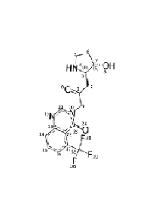 O=C(C[C@H]1NCC[C@@H]1O)Cn1cnc2cccc(C(F)(F)F)c2c1=O